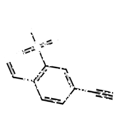 N#Cc1ccc(C=O)c(S(=O)(=O)O)c1